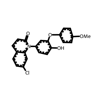 COc1ccc(Oc2cc(-n3c(=O)ccc4ccc(Cl)cc43)ccc2O)cc1